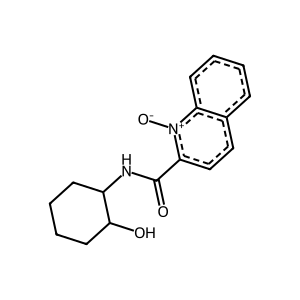 O=C(NC1CCCCC1O)c1ccc2ccccc2[n+]1[O-]